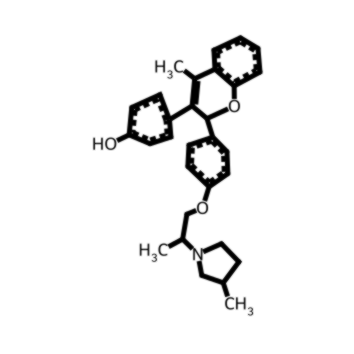 CC1=C(c2ccc(O)cc2)C(c2ccc(OCC(C)N3CCC(C)C3)cc2)Oc2ccccc21